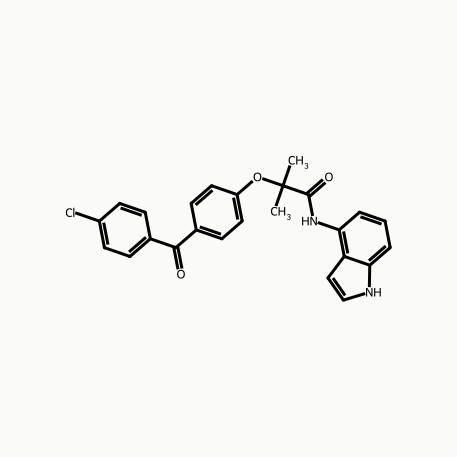 CC(C)(Oc1ccc(C(=O)c2ccc(Cl)cc2)cc1)C(=O)Nc1cccc2[nH]ccc12